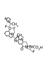 CC(C(F)Oc1cccc2cc(-c3nc4cc5c(nc4n3C)CCN(CC(CF)NC(=O)O)C5=O)n(CC3CC3)c12)n1ccnc1